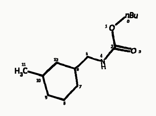 CCCCOC(=O)NCC1CCCC(C)C1